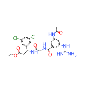 CCOC(=O)CC(NC(=O)CNC(=O)c1cc(NC(=N)N)cc(NC(C)=O)c1)c1cc(Cl)cc(Cl)c1